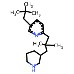 CC(C)(C)Cc1ccc(CC(C)(C)CC2CCCNC2)nc1